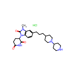 Cl.Cn1c(=O)n(C2CCC(=O)NC2=O)c2ccc(CCCC3CCN(C4CCNCC4)CC3)cc21